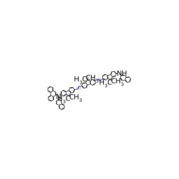 CC1(C)c2cc(/C=C/c3ccc4c(c3)C(C)(C)c3cc(Nc5ccc6ccccc6c5)ccc3-4)ccc2-c2ccc(/C=C/c3ccc4c(c3)C(C)(C)c3cc(N(c5ccc6ccccc6c5)c5cc6ccccc6c6ccccc56)ccc3-4)cc21